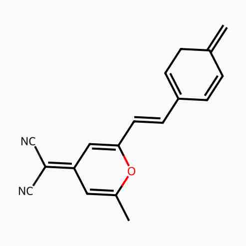 C=C1C=CC(C=CC2=CC(=C(C#N)C#N)C=C(C)O2)=CC1